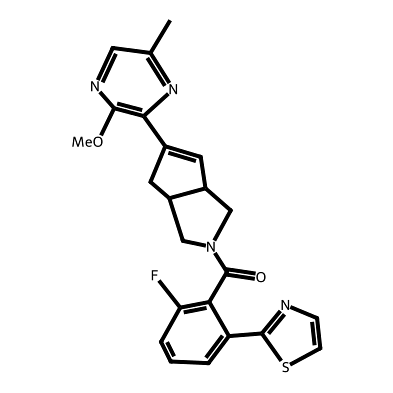 COc1ncc(C)nc1C1=CC2CN(C(=O)c3c(F)cccc3-c3nccs3)CC2C1